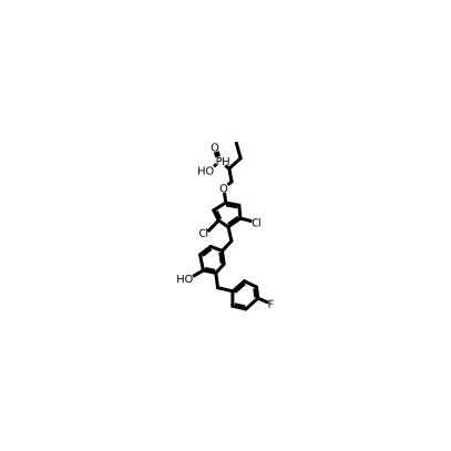 CCC(COc1cc(Cl)c(Cc2ccc(O)c(Cc3ccc(F)cc3)c2)c(Cl)c1)[PH](=O)O